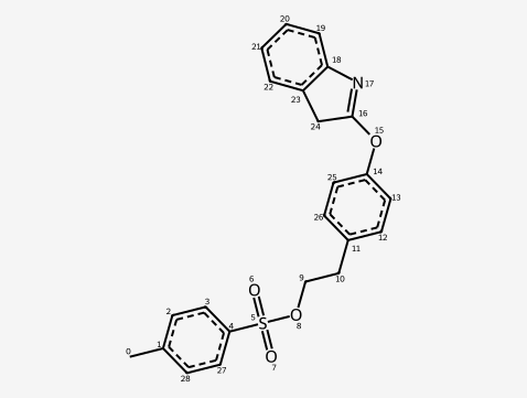 Cc1ccc(S(=O)(=O)OCCc2ccc(OC3=Nc4ccccc4C3)cc2)cc1